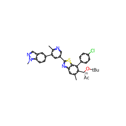 CC(=O)[C@@H](OC(C)(C)C)c1c(C)cc2nc(-c3cnc(C)c(-c4ccc5c(cnn5C)c4)c3)sc2c1-c1ccc(Cl)cc1